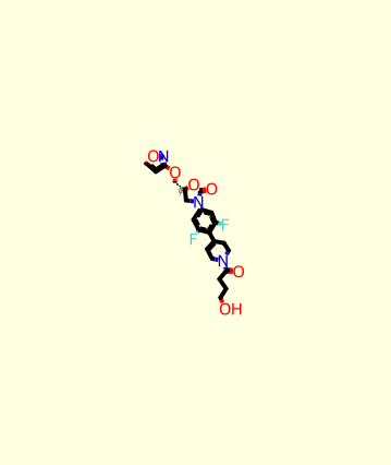 O=C(CCCO)N1CC=C(c2c(F)cc(N3C[C@H](COc4ccon4)OC3=O)cc2F)CC1